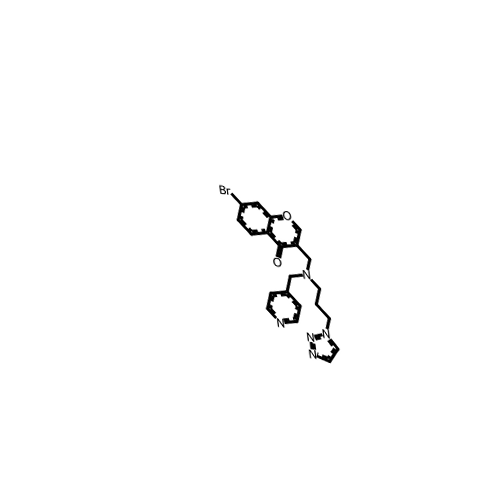 O=c1c(CN(CCCn2ccnn2)Cc2ccncc2)coc2cc(Br)ccc12